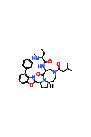 CC[C@H](NC)C(=O)N[C@H]1CN(C(=O)CC(C)C)CC[C@H]2CC[C@@H](c3nc4c(-c5ccccc5)cccc4o3)N2C1=O